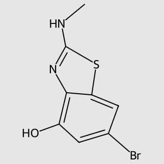 CNc1nc2c(O)cc(Br)cc2s1